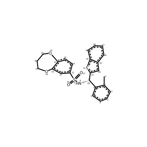 Cc1ccccc1[C@H](NS(=O)(=O)c1ccc2c(c1)OCCCO2)c1cc2ccccc2s1